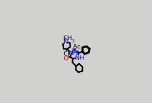 CC(=O)/N=C(/NC(CC1CCCCC1)C(=O)NC1(C#N)CCN(C)CC1)c1ccccc1